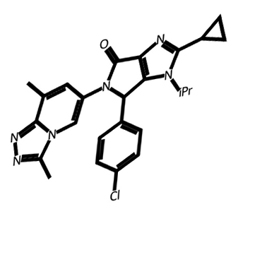 Cc1cc(N2C(=O)c3nc(C4CC4)n(C(C)C)c3C2c2ccc(Cl)cc2)cn2c(C)nnc12